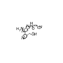 Nc1nc(-c2cnccc2CCO)cc2cc(NC(=O)[C@@H]3C[C@H]3c3cccnc3)ncc12